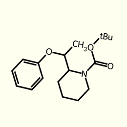 CC(Oc1ccccc1)C1CCCCN1C(=O)OC(C)(C)C